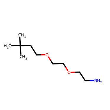 CC(C)(C)[CH]COCCOCCN